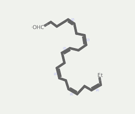 CC/C=C\C/C=C\C/C=C\C/C=C\C/C=C\C/C=C\CC[C]=O